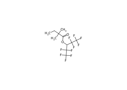 CCC(C)(C)C(=O)OC(C(F)(F)C(F)(F)F)C(F)(F)C(F)(F)F